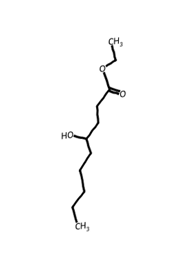 CCCCCC(O)CCC(=O)OCC